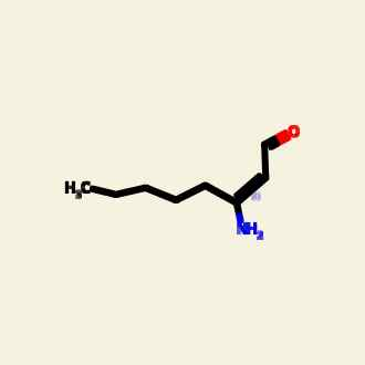 CCCCC/C(N)=C\C=O